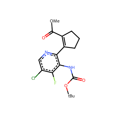 COC(=O)C1=C(c2ncc(Cl)c(F)c2NC(=O)OC(C)(C)C)CCC1